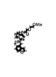 COCCOCC(=O)Nc1cnc(NCc2c(F)ccc3c2CCO3)n2cnnc12